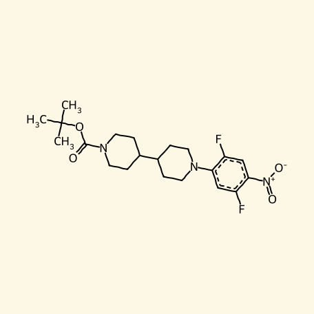 CC(C)(C)OC(=O)N1CCC(C2CCN(c3cc(F)c([N+](=O)[O-])cc3F)CC2)CC1